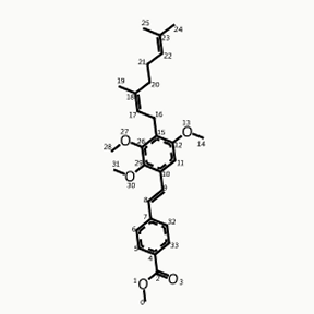 COC(=O)c1ccc(C=Cc2cc(OC)c(CC=C(C)CCC=C(C)C)c(OC)c2OC)cc1